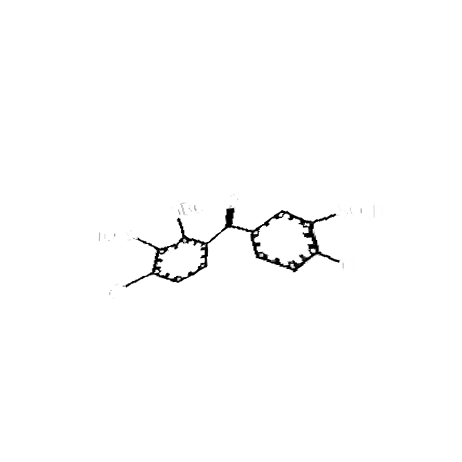 CCCCc1c(C(=O)c2ccc(Cl)c(S(=O)(=O)O)c2)ccc(Cl)c1S(=O)(=O)O